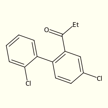 CCC(=O)c1cc(Cl)ccc1-c1ccccc1Cl